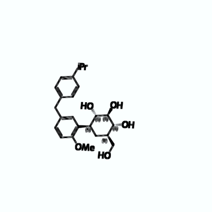 COc1ccc(Cc2ccc(C(C)C)cc2)cc1[C@@H]1C[C@H](CO)[C@@H](O)[C@H](O)[C@H]1O